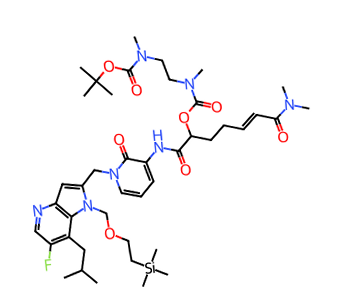 CC(C)Cc1c(F)cnc2cc(Cn3cccc(NC(=O)C(CC/C=C/C(=O)N(C)C)OC(=O)N(C)CCN(C)C(=O)OC(C)(C)C)c3=O)n(COCC[Si](C)(C)C)c12